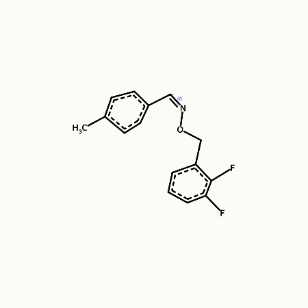 Cc1ccc(/[C]=N\OCc2cccc(F)c2F)cc1